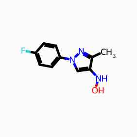 Cc1nn(-c2ccc(F)cc2)cc1NO